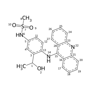 CC(O)c1cc(NS(C)(=O)=O)ccc1Nc1c2ccccc2nc2ccccc12